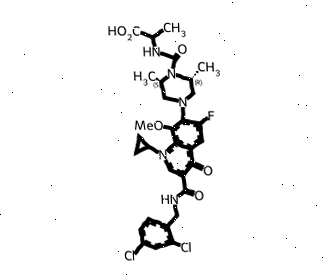 COc1c(N2C[C@@H](C)N(C(=O)NC(C)C(=O)O)[C@@H](C)C2)c(F)cc2c(=O)c(C(=O)NCc3ccc(Cl)cc3Cl)cn(C3CC3)c12